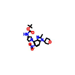 Cc1nc2c(N3CC[C@H](NC(=O)OC(C)(C)C)C3)c([N+](=O)[O-])ccc2n1C1CCOCC1